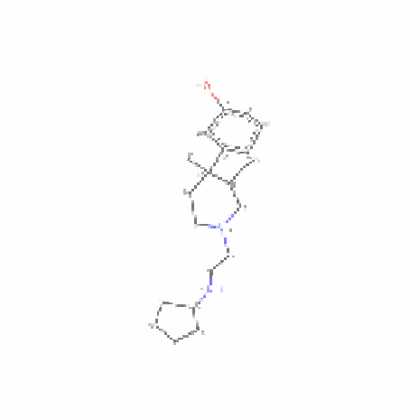 CC1CN(CCNC2CCCC2)CCC1(C)c1cccc(O)c1